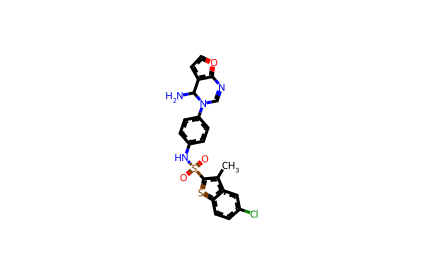 Cc1c(S(=O)(=O)Nc2ccc(N3C=Nc4occc4C3N)cc2)sc2ccc(Cl)cc12